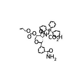 C=CCOC(=O)O[C@H](C)[C@H]1C(=O)N(C(C(=O)O)=P(c2ccccc2)(c2ccccc2)c2ccccc2)[C@@H]1CC(=O)c1cccc(C(N)=O)c1